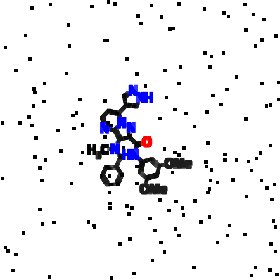 COc1cc(NC(=O)c2nn3c(-c4cn[nH]c4)ccnc3c2N(C)Cc2ccccc2)cc(OC)c1